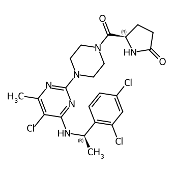 Cc1nc(N2CCN(C(=O)[C@H]3CCC(=O)N3)CC2)nc(N[C@H](C)c2ccc(Cl)cc2Cl)c1Cl